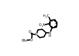 Cc1cccc(NC2CCN(C(=O)OC(C)(C)C)CC2)c1[N+](=O)[O-]